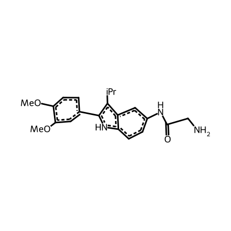 COc1ccc(-c2[nH]c3ccc(NC(=O)CN)cc3c2C(C)C)cc1OC